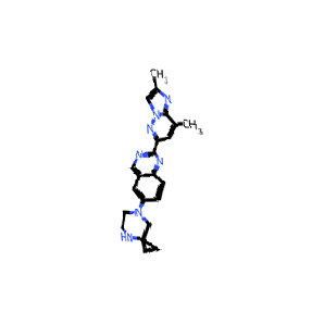 Cc1cn2nc(-c3ncc4cc(N5CCNC6(CC6)C5)ccc4n3)cc(C)c2n1